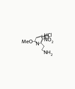 COc1ccc([N+](=O)[O-])c(CCN)n1.Cl.Cl